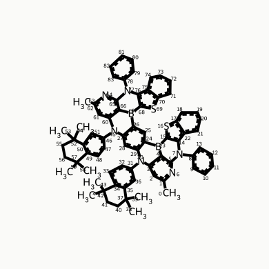 Cc1cc2c3c(n1)N(c1ccccc1)c1c(sc4ccccc14)B3c1cc3c(cc1N2c1ccc2c(c1)C(C)(C)CCC2(C)C)N(c1ccc2c(c1)C(C)(C)CCC2(C)C)c1cc(C)nc2c1B3c1sc3ccccc3c1N2c1ccccc1